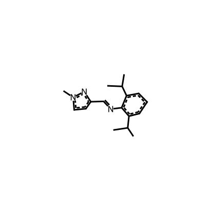 CC(C)c1cccc(C(C)C)c1/N=C/c1ccn(C)n1